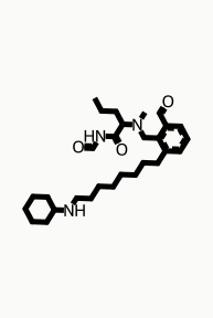 CCCC(C(=O)NC=O)N(C)Cc1c(C=O)cccc1CCCCCCCCNC1CCCCC1